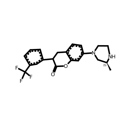 C[C@H]1CN(c2ccc3c(c2)OC(=O)C(c2cccc(C(F)(F)F)c2)C3)CCN1